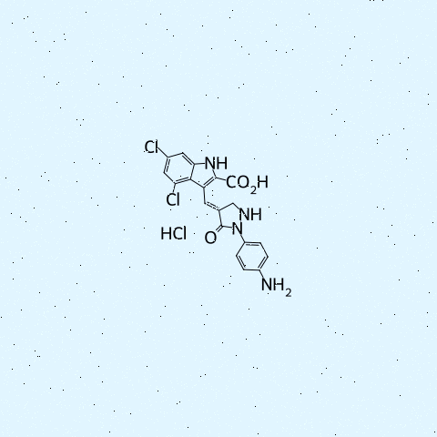 Cl.Nc1ccc(N2NC/C(=C\c3c(C(=O)O)[nH]c4cc(Cl)cc(Cl)c34)C2=O)cc1